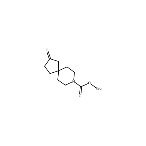 CC(C)(C)OC(=O)N1CCC2(CCC(=O)C2)CC1